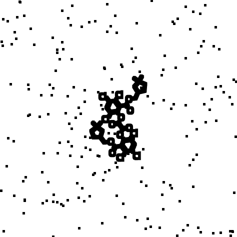 CC1(C)CCC(COC(=O)c2c(Cl)c(Cl)cc(Cl)c2OC(=O)C(=O)Oc2c(Cl)cc(Cl)c(Cl)c2C(=O)OCC2CCC(C)(C)C2)C1